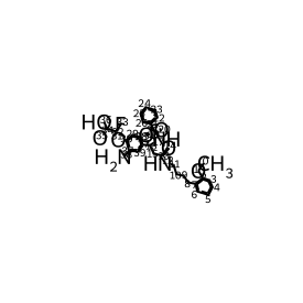 COc1ccccc1CCCCNC(=O)CC(NS(=O)(=O)c1ccccc1)c1ccc(OC(F)C(=O)O)c(N)c1